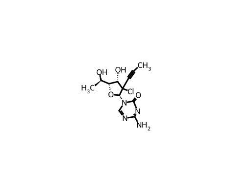 CC#CC1(Cl)[C@@H](O)[C@@H]([C@@H](C)O)O[C@H]1n1cnc(N)nc1=O